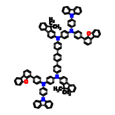 CC1(C)c2ccccc2-c2ccc(N(c3ccc(-c4ccc(-c5ccc(N(c6ccc(N(c7ccc(-c8cccc9c8oc8ccccc89)cc7)c7ccc(-n8c9ccccc9c9ccccc98)cc7)cc6)c6ccc7c(c6)C(C)(C)c6ccccc6-7)cc5)cc4)cc3)c3ccc(N(c4ccc(-c5cccc6c5oc5ccccc56)cc4)c4ccc(-n5c6ccccc6c6ccccc65)cc4)cc3)cc21